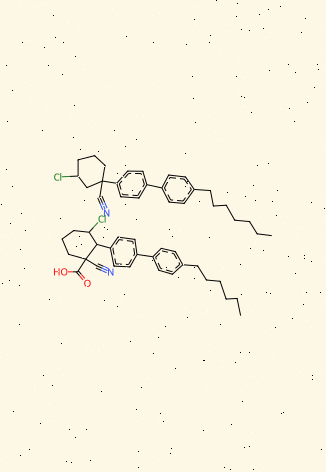 CCCCCCCc1ccc(-c2ccc(C3(C#N)CCCC(Cl)C3)cc2)cc1.CCCCCCc1ccc(-c2ccc(C3C(Cl)CCCC3(C#N)C(=O)O)cc2)cc1